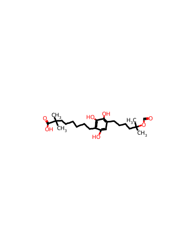 CC(C)(CCCCc1cc(O)c(CCCCCCC(C)(C)C(=O)O)c(O)c1O)OC=O